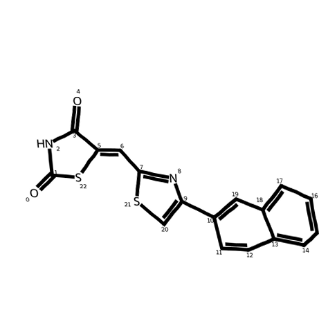 O=C1NC(=O)/C(=C/c2nc(-c3ccc4ccccc4c3)cs2)S1